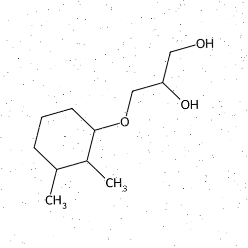 CC1CCCC(OCC(O)CO)C1C